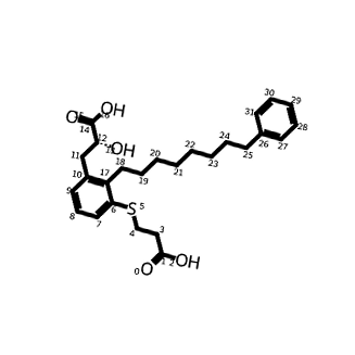 O=C(O)CCSc1cccc(C[C@@H](O)C(=O)O)c1CCCCCCCCc1ccccc1